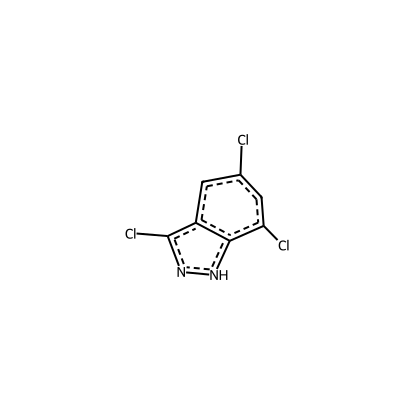 Clc1cc(Cl)c2[nH]nc(Cl)c2c1